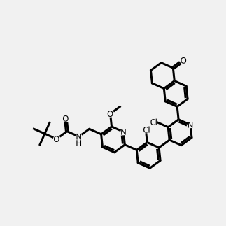 COc1nc(-c2cccc(-c3ccnc(-c4ccc5c(c4)CCCC5=O)c3Cl)c2Cl)ccc1CNC(=O)OC(C)(C)C